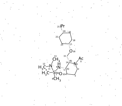 CC(=O)N1CCC[C@H](NS(C)(C)(=O)N(C)C)[C@@H]1CO[C@H]1CC[C@@H](C(C)C)CC1